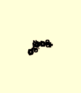 CC(C)(C)OC(=O)N1CCN(c2cnnc([S+]([O-])Cc3ccccc3)c2)CC1